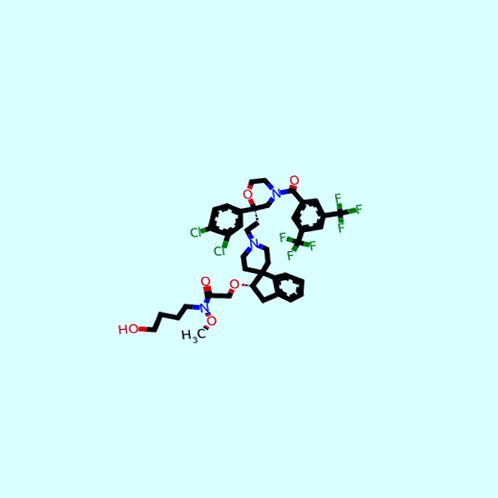 CON(CCCCO)C(=O)CO[C@H]1Cc2ccccc2C12CCN(CC[C@@]1(c3ccc(Cl)c(Cl)c3)CN(C(=O)c3cc(C(F)(F)F)cc(C(F)(F)F)c3)CCO1)CC2